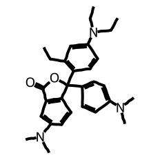 CCc1cc(N(CC)CC)ccc1C1(c2ccc(N(C)C)cc2)OC(=O)c2cc(N(C)C)ccc21